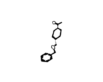 CC(=O)[C@H]1CC[C@H](COCc2ccccc2)CC1